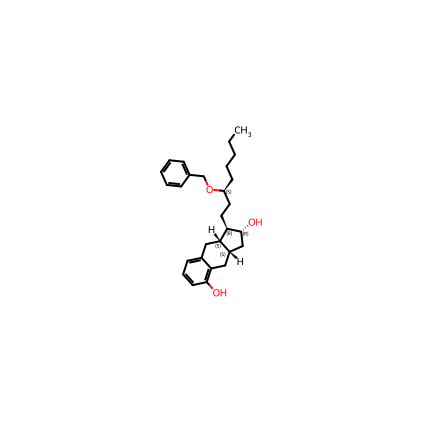 CCCCC[C@@H](CC[C@@H]1[C@H]2Cc3cccc(O)c3C[C@H]2C[C@H]1O)OCc1ccccc1